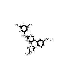 O=C(O)c1cncc(-c2cnc(Nc3cc(F)cc(F)c3)nc2N2C=CC(C(F)(F)F)N2)c1